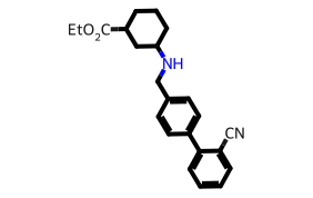 CCOC(=O)C1CCCC(NCc2ccc(-c3ccccc3C#N)cc2)C1